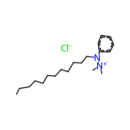 CCCCCCCCCCCCN(c1ccccc1)[N+](C)(C)C.[Cl-]